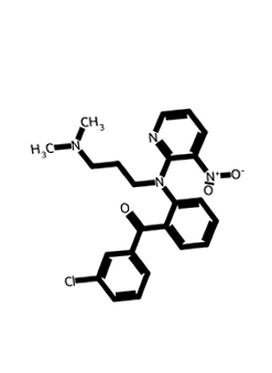 CN(C)CCCN(c1ccccc1C(=O)c1cccc(Cl)c1)c1ncccc1[N+](=O)[O-]